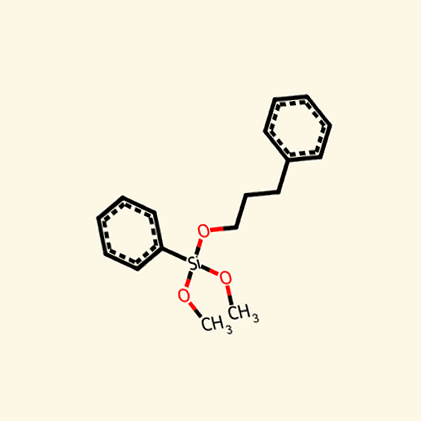 CO[Si](OC)(OCCCc1ccccc1)c1ccccc1